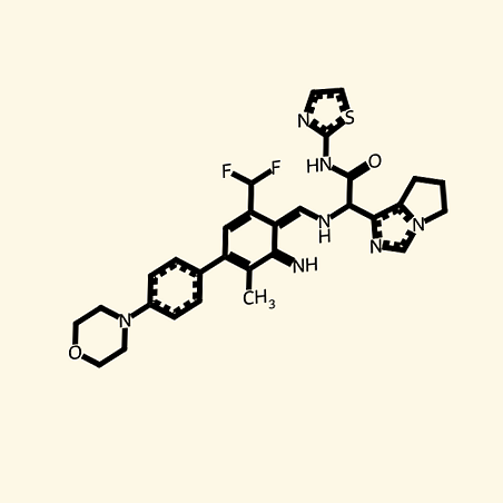 CC1=C(c2ccc(N3CCOCC3)cc2)C=C(C(F)F)/C(=C/NC(C(=O)Nc2nccs2)c2ncn3c2CCC3)C1=N